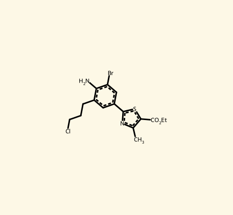 CCOC(=O)c1sc(-c2cc(Br)c(N)c(CCCCl)c2)nc1C